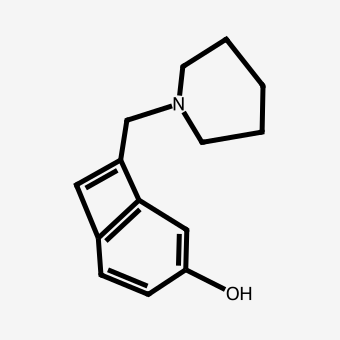 Oc1ccc2c(c1)C(CN1CCCCC1)=C2